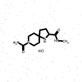 CNC(=O)C1CCC2(CCN(C(N)=O)CC2)N1.Cl